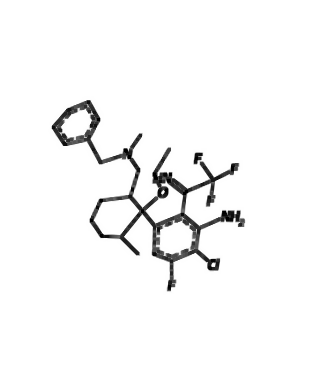 CCOC1(c2cc(F)c(Cl)c(N)c2C(=N)C(F)(F)F)C(C)CCCC1CN(C)Cc1ccccc1